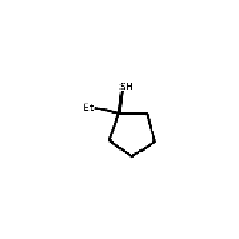 CCC1(S)CCCC1